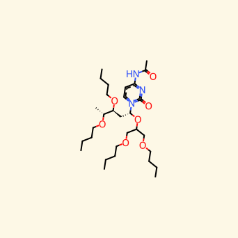 CCCCOCC(COCCCC)O[C@H](C[C@H](OCCCC)[C@@H](C)OCCCC)n1ccc(NC(C)=O)nc1=O